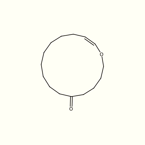 O=C1CCCCCCCCC=COCCCC1